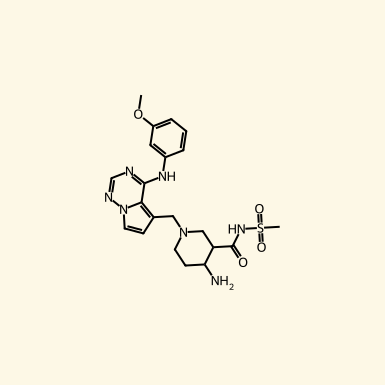 COc1cccc(Nc2ncnn3ccc(CN4CCC(N)C(C(=O)NS(C)(=O)=O)C4)c23)c1